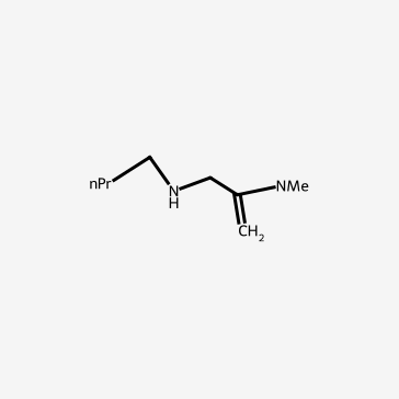 C=C(CNCCCC)NC